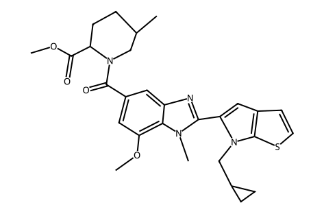 COC(=O)C1CCC(C)CN1C(=O)c1cc(OC)c2c(c1)nc(-c1cc3ccsc3n1CC1CC1)n2C